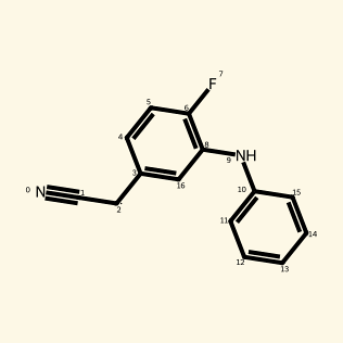 N#C[CH]c1ccc(F)c(Nc2ccccc2)c1